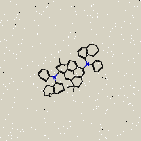 Cc1cc(N(c2ccccc2)c2cccc3c2CCCC3)c2cc3c4c(cc(N(c5ccccc5)c5cccc6c5CCCC6)c5ccc1c2c54)CCC3(C)C